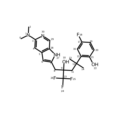 CN(C)c1cc2cc(CC(O)(CC(C)(C)c3cc(F)ccc3O)C(F)(F)F)[nH]c2cn1